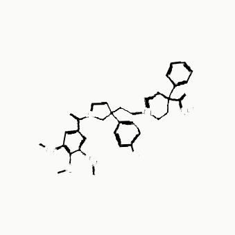 COc1cc(C(=O)N2CCC(CCN3CCC(C(N)=O)(c4ccccc4)CC3)(c3ccc(Cl)cc3)C2)cc(OC)c1OC